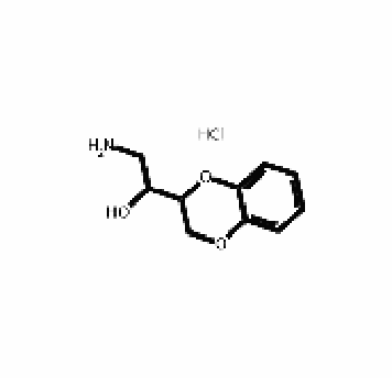 Cl.NCC(O)C1COc2ccccc2O1